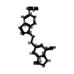 CCOC(=O)c1ccc2c(cnn2CCc2cc(=O)n3c(n2)NCC3)c1